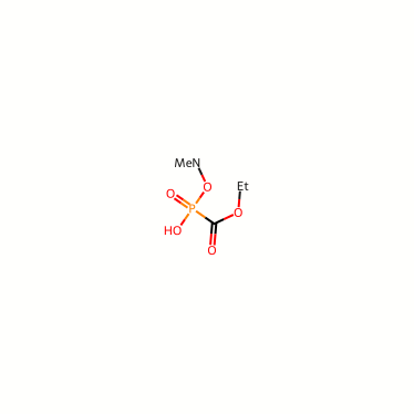 CCOC(=O)P(=O)(O)ONC